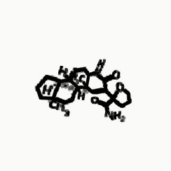 C[C@@]12CCC[C@H]1[C@@H]1CCC3NC(=O)C(C4(C(N)=O)CCCO4)=C[C@]3(C)[C@@H]1CC2